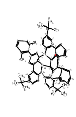 Cc1cccc(C)c1-c1cc2c3c(c1)N(c1ccc(C(C)(C)C)cc1-c1ccccc1)c1ccc4c(sc5ccccc54)c1B3N(c1ccc(C(C)(C)C)cc1)c1ccc(C(C)(C)C)cc1-2